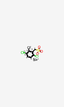 O=S(=O)([O-])Cc1c(Cl)ccc(Cl)c1C(F)(F)F.[Na+]